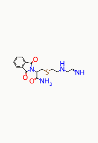 N=CCNCCSCC(C(N)=O)N1C(=O)c2ccccc2C1=O